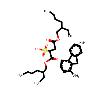 CCCCC(CC)COC(=O)CC(C(=O)OCC(CC)CCCC)S(=O)(=O)O.[AlH2][c]1cccc2c1Cc1ccccc1-2.[NaH]